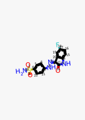 NS(=O)(=O)c1ccc(N/N=C2\C(=O)Nc3ccc(F)cc32)cc1